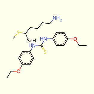 CCOc1ccc(NC(=S)Nc2ccc(OCC)cc2)cc1.CS[CH]([SnH])CCCCN